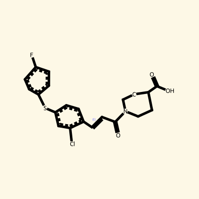 O=C(O)C1CCN(C(=O)/C=C/c2ccc(Sc3ccc(F)cc3)cc2Cl)CC1